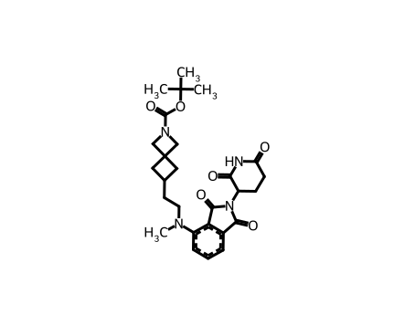 CN(CCC1CC2(C1)CN(C(=O)OC(C)(C)C)C2)c1cccc2c1C(=O)N(C1CCC(=O)NC1=O)C2=O